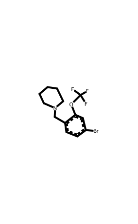 FC(F)(F)Oc1cc(Br)ccc1CN1CCCCC1